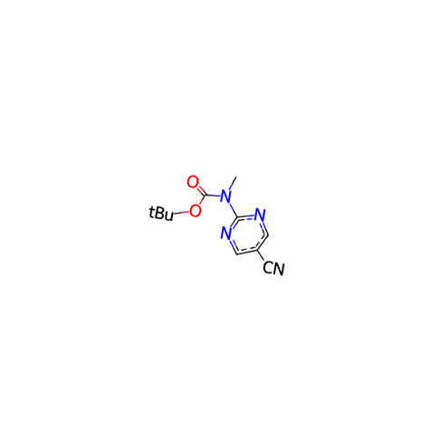 CN(C(=O)OC(C)(C)C)c1ncc(C#N)cn1